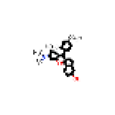 C[N+](C)=c1ccc2c(-c3ccc(C(=O)O)cc3C(=O)O)c3ccc4cc(O)ccc4c3oc-2c1